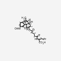 COc1ccc2c3c1O[C@H]1C(OC(=O)CCCC(=O)N[C@@H](CC(C)C)C(=O)O)=CC[C@@]4(O)[C@@H](C2)N(C)CC[C@]314